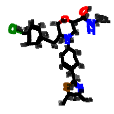 CCNC(=O)C1CN(C2CC=C(c3nc(C)c(C)s3)CC2)C(Cc2ccc(Cl)cc2)CO1